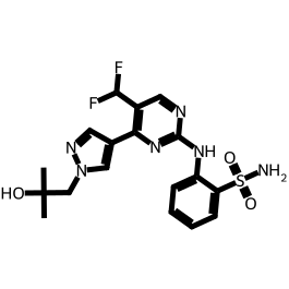 CC(C)(O)Cn1cc(-c2nc(Nc3ccccc3S(N)(=O)=O)ncc2C(F)F)cn1